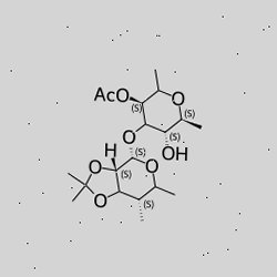 CC(=O)O[C@H]1C(C)O[C@@H](C)[C@H](O)C1O[C@@H]1OC(C)[C@H](C)C2OC(C)(C)O[C@@H]21